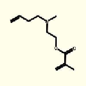 C=CCCN(C)CCOC(=O)C(=C)C